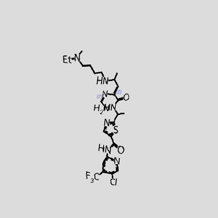 CCN(C)CCCCNC(C)/C=C(\N=C/N)C(=O)NC(C)c1ncc(C(=O)Nc2cc(C(F)(F)F)c(Cl)cn2)s1